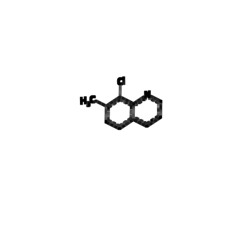 Cc1ccc2cccnc2c1Cl